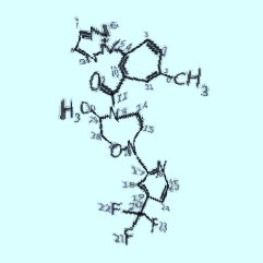 Cc1ccc(-n2nccn2)c(C(=O)N2CCN(c3cc(C(F)(F)F)ccn3)OC[C@H]2C)c1